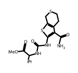 COC(=O)C(NC(=O)Nc1sc2c(c1C(N)=O)CCSC2)C(C)C